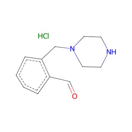 Cl.O=Cc1ccccc1CN1CCNCC1